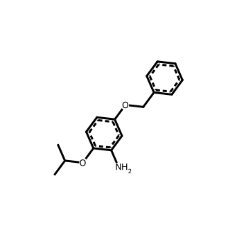 CC(C)Oc1ccc(OCc2ccccc2)cc1N